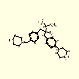 CCC(Cc1ccc(CN2CCNCC2)cc1)(Cc1ccc(N2CCNCC2)cc1)N(C)C